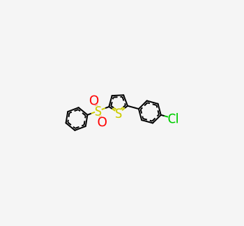 O=S(=O)(c1ccccc1)c1ccc(-c2ccc(Cl)cc2)s1